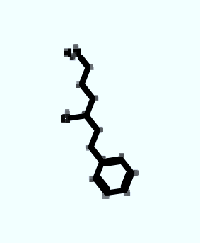 NCCCC(Cl)CCc1ccccc1